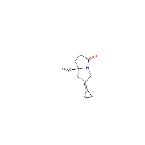 O=C1CC[C@@]2(C(=O)O)CC(=C3CC3)CN12